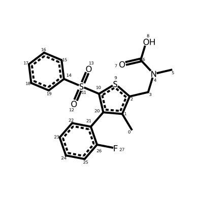 Cc1c(CN(C)C(=O)O)sc(S(=O)(=O)c2ccccc2)c1-c1ccccc1F